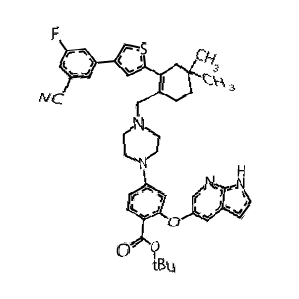 CC1(C)CCC(CN2CCN(c3ccc(C(=O)OC(C)(C)C)c(Oc4cnc5[nH]ccc5c4)c3)CC2)=C(c2cc(-c3cc(F)cc(C#N)c3)cs2)C1